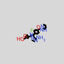 NC1=NCCn2c(C34COC(CO)(C3)C4)nc(-c3ccc(C(=O)Nc4ccccn4)cc3F)c21